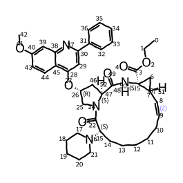 CCOC(=O)[C@]12C[C@@H]1/C=C\CCCCC[C@H](N1CCCCC1)C(=O)N1C[C@H](Oc3cc(-c4ccccc4)nc4cc(OC)ccc34)C[C@H]1C(=O)N2